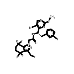 CSc1ncc(Br)c([C@H](Cc2cccc(F)c2)NC(=O)Cn2nc(CF)c3c2C(F)(F)CCC3(F)F)n1